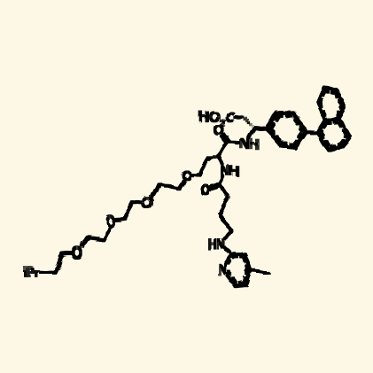 Cc1ccnc(NCCCC(=O)N[C@@H](CCOCCOCCOCCOCCC(C)C)C(=O)N[C@H](CC(=O)O)c2ccc(-c3cccc4ccccc34)cc2)c1